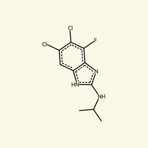 CC(C)Nc1nc2c(F)c(Cl)c(Cl)cc2[nH]1